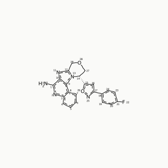 Nc1nc2ccccc2c2c1nc1n2[C@@H](c2cc(-c3ccc(F)cc3)no2)COC1